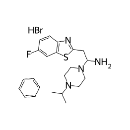 Br.CC(C)N1CCN(C(N)Cc2nc3ccc(F)cc3s2)CC1.c1ccccc1